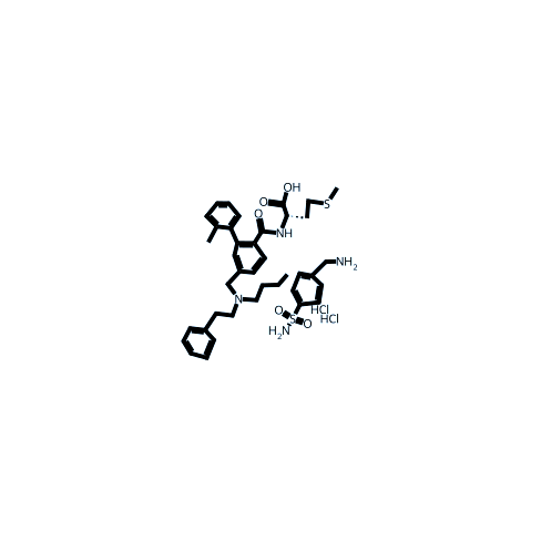 CCCCN(CCc1ccccc1)Cc1ccc(C(=O)N[C@@H](CCSC)C(=O)O)c(-c2ccccc2C)c1.Cl.Cl.NCc1ccc(S(N)(=O)=O)cc1